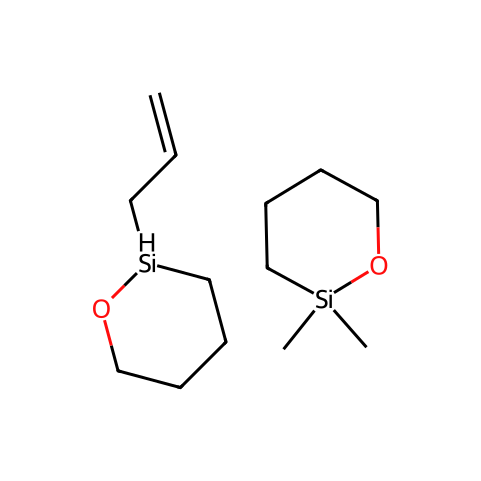 C=CC[SiH]1CCCCO1.C[Si]1(C)CCCCO1